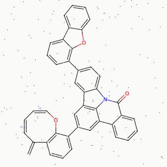 C=C1/C=C\C=C/Oc2c1cccc2-c1cc2c3ccccc3c(=O)n3c4ccc(-c5cccc6c5oc5ccccc56)cc4c(c1)c23